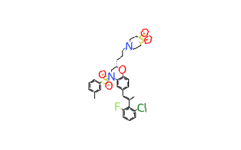 C/C(=C\c1ccc2c(c1)N(S(=O)(=O)c1cccc(C)c1)C[C@H](CCCN1CCS(=O)(=O)CC1)O2)c1c(F)cccc1Cl